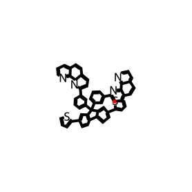 c1cc(-c2ccc3ccc4cccnc4c3n2)cc(C2(c3cccc(-c4ccc5ccc6cccnc6c5n4)c3)c3cc(-c4cccs4)ccc3-c3ccc(-c4cccs4)cc32)c1